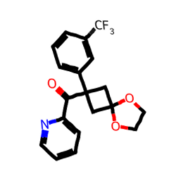 O=C(c1ccccn1)C1(c2cccc(C(F)(F)F)c2)CC2(C1)OCCO2